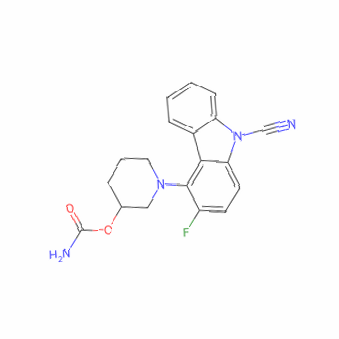 N#Cn1c2ccccc2c2c(N3CCCC(OC(N)=O)C3)c(F)ccc21